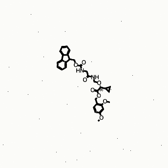 COc1ccc(COC(=O)[C@H](OCNC(=O)CNC(=O)OCC2c3ccccc3-c3ccccc32)C2CC2)c(OC)c1